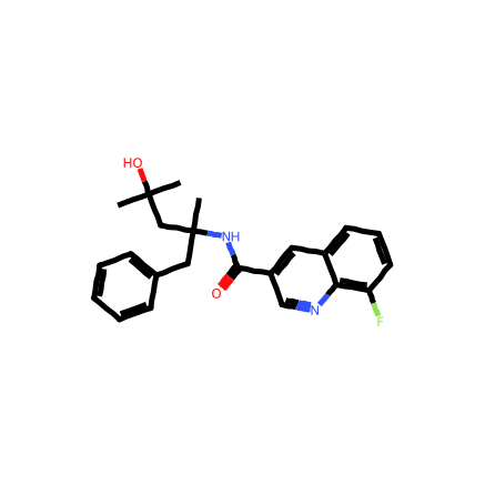 CC(C)(O)CC(C)(Cc1ccccc1)NC(=O)c1cnc2c(F)cccc2c1